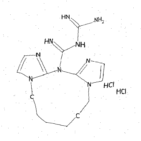 Cl.Cl.N=C(N)NC(=N)N1c2nccn2CCCCCCn2ccnc21